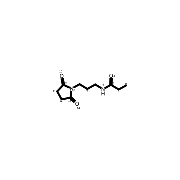 CCC(=O)NCCCN1C(=O)CCC1=O